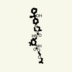 C#CC(O)(c1ccccc1)c1ccc(N2CCN(C(=O)NCC3(C)CC(NC(=O)OCCOCC(=C)C)CC(C)(C)C3)C(C)C2)cc1